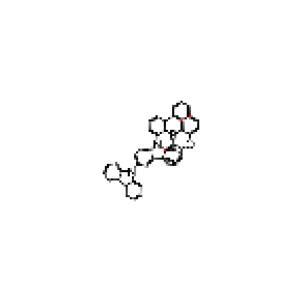 c1ccc(-c2cccc(-n3c4ccccc4c4cc(-n5c6ccccc6c6ccccc65)ccc43)c2B2c3ccccc3Oc3ccccc32)cc1